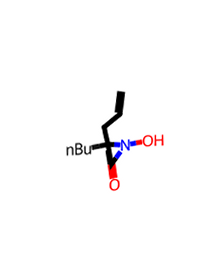 C=CCC1(CCCC)C(=O)N1O